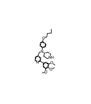 CCCCOc1ccc(N(Cc2ccnc(-c3cc(OC)c(OC)c(OC)c3)c2)C2CCNCC2)cc1